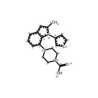 Cc1cc2cccc(N3CCN(C(=O)O)CC3)c2n1-c1ccsc1